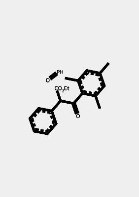 CCOC(=O)C(C(=O)c1c(C)cc(C)cc1C)c1ccccc1.O=P